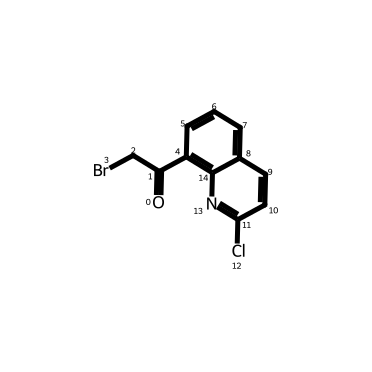 O=C(CBr)c1cccc2ccc(Cl)nc12